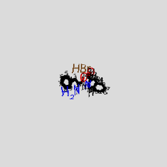 Br.N[C@@H](Cc1ccccc1)[C@H]1CN2C[C@H]3CCCC[C@H]3C[C@H]2C(=O)O1